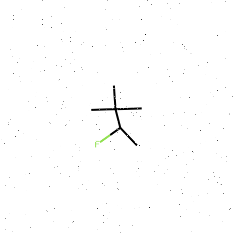 [CH2]C(F)C(C)(C)C